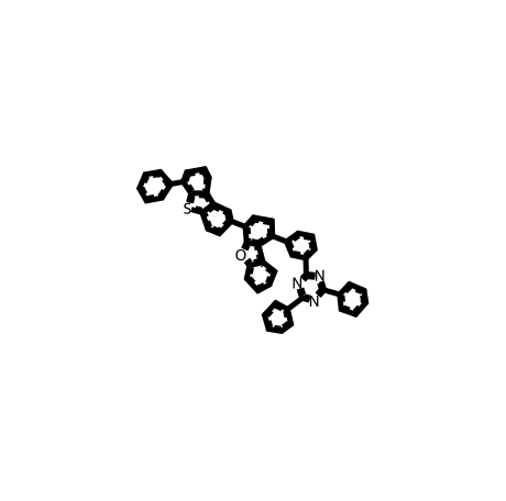 c1ccc(-c2nc(-c3ccccc3)nc(-c3cccc(-c4ccc(-c5ccc6sc7c(-c8ccccc8)cccc7c6c5)c5oc6ccccc6c45)c3)n2)cc1